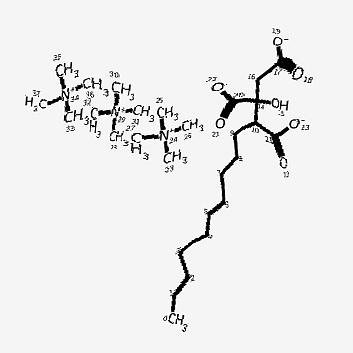 CCCCCCCCCCC(C(=O)[O-])C(O)(CC(=O)[O-])C(=O)[O-].C[N+](C)(C)C.C[N+](C)(C)C.C[N+](C)(C)C